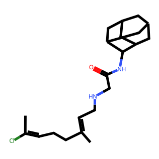 C/C(Cl)=C\CC/C(C)=C/CNCC(=O)NC1C2CC3CC(C2)CC1C3